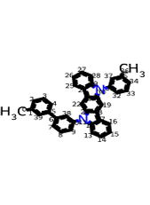 Cc1cccc(-c2cccc(-n3c4ccccc4c4cc5c(cc43)c3ccccc3n5-c3cccc(C)c3)c2)c1